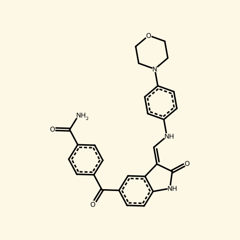 NC(=O)c1ccc(C(=O)c2ccc3c(c2)C(=CNc2ccc(N4CCOCC4)cc2)C(=O)N3)cc1